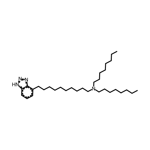 CCCCCCCCN(CCCCCCCC)CCCCCCCCCCc1cccc2[nH]nnc12